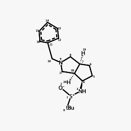 CC(C)(C)[S+]([O-])N[C@@H]1CC[C@@H]2CN(Cc3ccccc3)C[C@@H]21